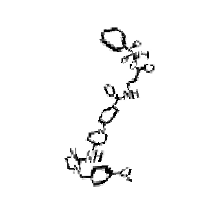 COc1ccc(CN2CCN=C2NC2CCN(c3ccc(C(=O)NCCC(=O)ONS(=O)(=O)c4ccccc4)cc3)CC2)cc1